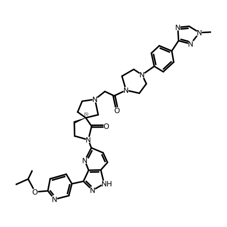 CC(C)Oc1ccc(-c2n[nH]c3ccc(N4CC[C@]5(CCN(CC(=O)N6CCN(c7ccc(-c8ncn(C)n8)cc7)CC6)C5)C4=O)nc23)cn1